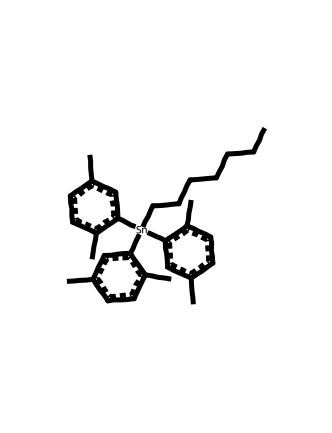 CCCCCC[CH2][Sn]([c]1cc(C)ccc1C)([c]1cc(C)ccc1C)[c]1cc(C)ccc1C